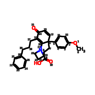 COc1ccc(C2(CCC(=O)O)C=CC(=O)C(CCCc3ccccc3)=C2N2CCC2)cc1